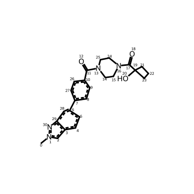 Cn1cc2ccc(-c3ccc(C(=O)N4CCN(C(=O)C5(O)CCC5)CC4)cc3)cc2n1